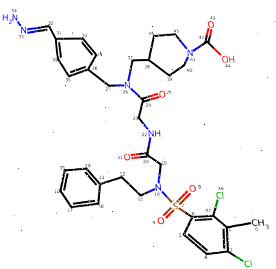 Cc1c(Cl)ccc(S(=O)(=O)N(CCc2ccccc2)CC(=O)NCC(=O)N(Cc2ccc(C=NN)cc2)CC2CCN(C(=O)O)CC2)c1Cl